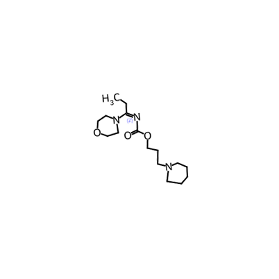 CC/C(=N/C(=O)OCCCN1CCCCC1)N1CCOCC1